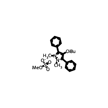 CC(C)COc1c(-c2ccccc2)n(C)[n+](C)c1-c1ccccc1.COS(=O)(=O)[O-]